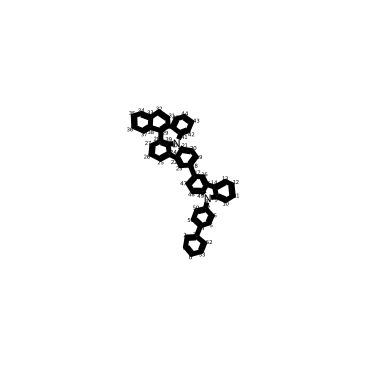 c1ccc(-c2ccc(-n3c4ccccc4c4cc(-c5ccc6c(c5)c5cccc(-c7cccc8ccccc78)c5n6-c5ccccc5)ccc43)cc2)cc1